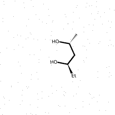 CC[C@@H](O)C[C@@H](C)O